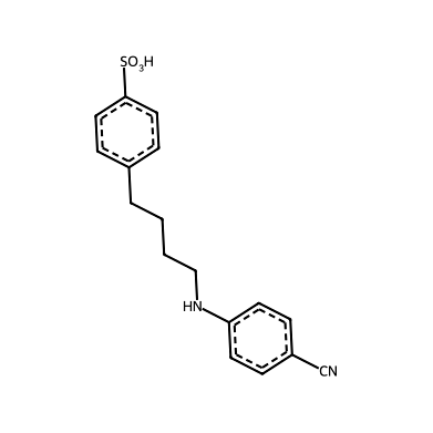 N#Cc1ccc(NCCCCc2ccc(S(=O)(=O)O)cc2)cc1